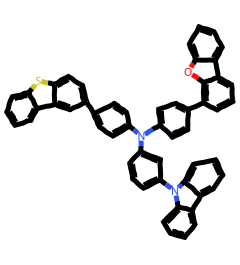 c1cc(N(c2ccc(-c3ccc4sc5ccccc5c4c3)cc2)c2ccc(-c3cccc4c3oc3ccccc34)cc2)cc(-n2c3ccccc3c3ccccc32)c1